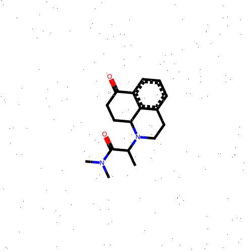 CC(C(=O)N(C)C)N1CCc2cccc3c2C1CCC3=O